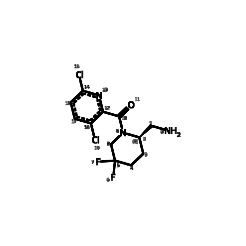 NC[C@H]1CCC(F)(F)CN1C(=O)c1nc(Cl)ccc1Cl